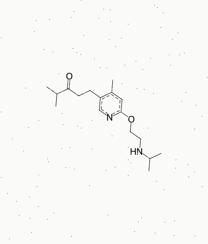 Cc1cc(OCCNC(C)C)ncc1CCC(=O)C(C)C